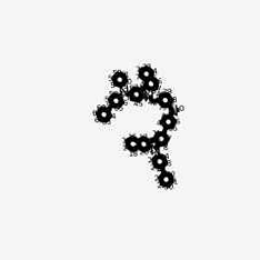 CN(c1ccc(-c2ccc3c(c2)c2cc4ccccc4cc2n3-c2ccc(-c3ccccc3)cc2)cc1)c1cccc(Cn2c3ccc(N(c4ccccc4)c4ccc(-c5ccccc5)cc4)cc3c3c4ccccc4ccc32)c1